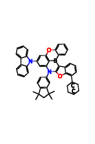 CC1(C)CC(C)(C)c2cc(N3c4cc(-n5c6ccccc6c6ccccc65)cc5c4B(c4ccccc4O5)c4c3oc3c(C56CCC(CC5)CC6)cccc43)ccc21